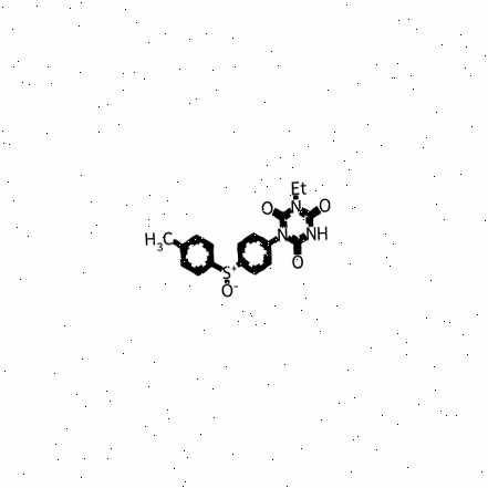 CCn1c(=O)[nH]c(=O)n(-c2ccc([S+]([O-])c3ccc(C)cc3)cc2)c1=O